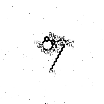 CCCCCCCCCCCCCCCC(=O)N(C)[C@H](CO)C(=O)N[C@H](N)C(=O)NCC(=O)N(C)[C@@H]1C(=O)N[C@@H](C)C(=O)N[C@H](C(=O)O)Cc2ccc(OC)c(c2)-c2cc1ccc2OC